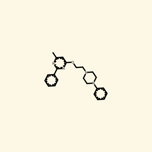 Cc1cc(OCCN2CCN(c3ccccc3)CC2)nc(-c2ccccc2)n1